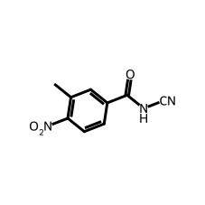 Cc1cc(C(=O)NC#N)ccc1[N+](=O)[O-]